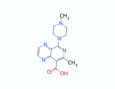 Cc1nc(N2CCN(C)CC2)c2nccnc2c1C(=O)O